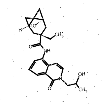 CC[C@@]1(C(=O)Nc2cccc3c(=O)n(CC(C)O)ccc23)C[C@H]2C[C@]23C[C@@]3(O)C1